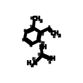 C=Cc1ccccc1C.N=C(N)S